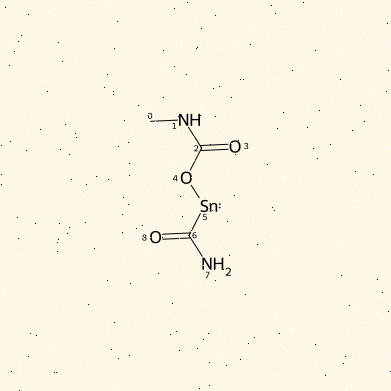 CNC(=O)[O][Sn][C](N)=O